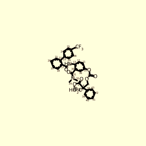 CCC(C)OC(=O)C(COC(=O)Oc1ccc(NC(=O)c2ccccc2-c2ccc(C(F)(F)F)cc2)c(C(=O)N(C)C)c1)(C(=O)O)c1ccccc1